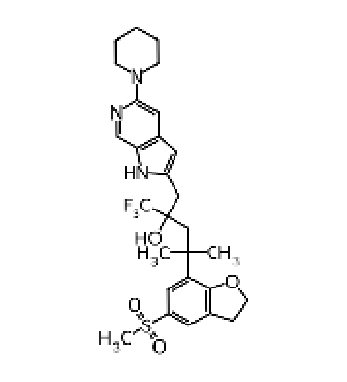 CC(C)(CC(O)(Cc1cc2cc(N3CCCCC3)ncc2[nH]1)C(F)(F)F)c1cc(S(C)(=O)=O)cc2c1OCC2